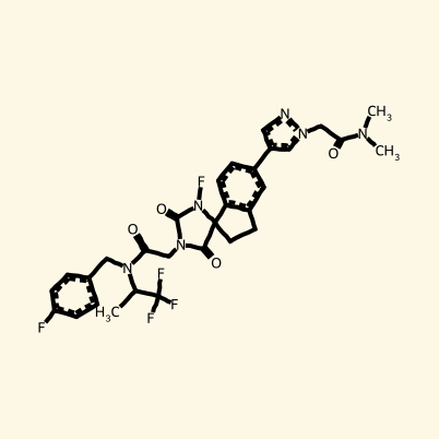 CC(N(Cc1ccc(F)cc1)C(=O)CN1C(=O)N(F)C2(CCc3cc(-c4cnn(CC(=O)N(C)C)c4)ccc32)C1=O)C(F)(F)F